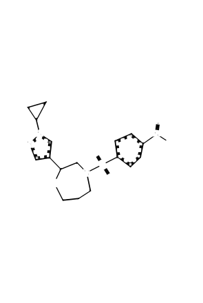 O=[N+]([O-])c1ccc(S(=O)(=O)N2CCCOC(c3cnn(C4CC4)c3)C2)cc1